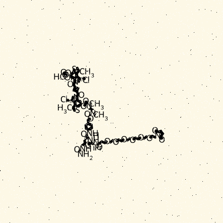 Cc1csc2c(OC(=O)N(C)CCN(C)C(=O)OCc3ccc(NC(=O)[C@H](CCCNC(N)=O)NC(=O)C(NC(=O)CCOCCOCCOCCOCCOCCOCCN4C(=O)C=CC4=O)C(C)C)cc3)cc3c(c12)[C@H](CCl)CN3C(=O)C12CC(C(=O)N3C[C@@H](CCl)c4c3cc(OP(=O)(O)O)c3scc(C)c43)(C1)C2